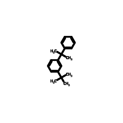 CC(C)(C)c1cc[c]c(C(C)(C)c2ccccc2)c1